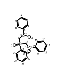 O=P(C[S+]([O-])c1ccccc1)(C[S+]([O-])c1ccccc1)c1ccccc1